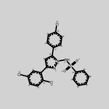 O=S(=O)(Nn1nc(-c2cc(Cl)ccc2Cl)cc1-c1ccc(Cl)cc1)c1ccccc1